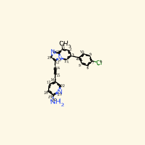 Cc1cc(-c2ccc(Cl)cc2)cn2c(C#Cc3ccc(N)nc3)cnc12